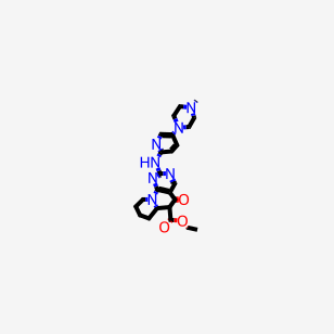 CCOC(=O)C1C(=O)c2cnc(Nc3ccc(N4CCN(C)CC4)cn3)nc2N2CCCCC12